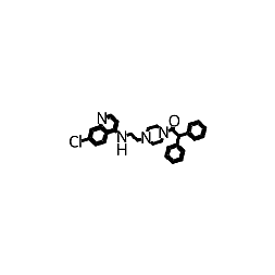 O=C(C(c1ccccc1)c1ccccc1)N1CCN(CCNc2ccnc3cc(Cl)ccc23)CC1